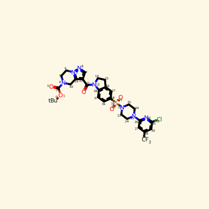 CC(C)(C)OC(=O)N1CCn2ncc(C(=O)N3CCc4cc(S(=O)(=O)N5CCN(c6cc(C(F)(F)F)cc(Cl)n6)CC5)ccc43)c2C1